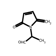 C=C1C=CC(=O)N1C(C)C=O